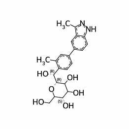 Cc1cc(-c2ccc3[nH]nc(C)c3c2)ccc1[C@@H](O)[C@H]1OC(CO)[C@@H](O)C(O)C1O